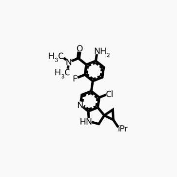 CC(C)C1CC12CNc1ncc(-c3ccc(N)c(C(=O)N(C)C)c3F)c(Cl)c12